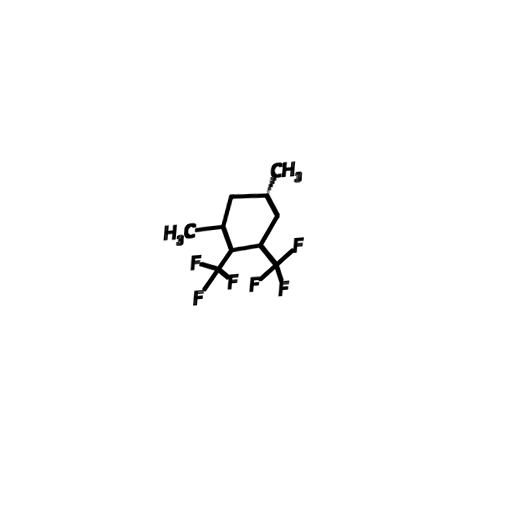 CC1C[C@H](C)CC(C(F)(F)F)C1C(F)(F)F